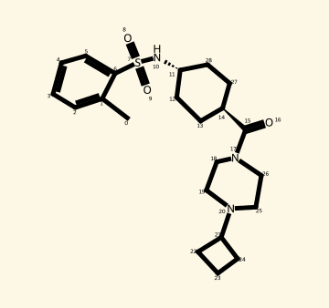 Cc1ccccc1S(=O)(=O)N[C@H]1CC[C@H](C(=O)N2CCN(C3CCC3)CC2)CC1